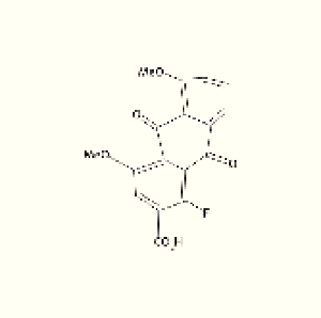 COc1cccc2c1C(=O)c1c(OC)cc(C(=O)O)c(F)c1C2=O